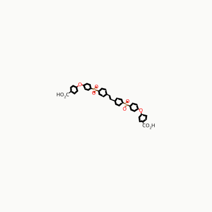 O=C(O)c1ccc(Oc2ccc(S(=O)(=O)c3ccc(C=Cc4ccc(S(=O)(=O)c5ccc(Oc6ccc(C(=O)O)cc6)cc5)cc4)cc3)cc2)cc1